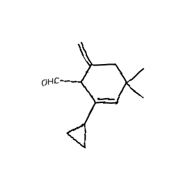 C=C1CC(C)(C)C=C(C2CC2)C1C=O